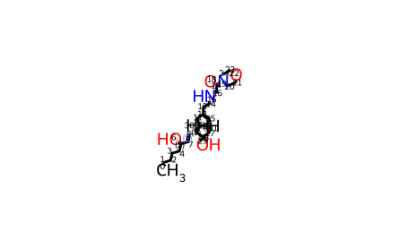 CCCCC[C@H](O)/C=C/[C@@H]1[C@H]2CC(CCNCC(=O)N3CCOCC3)=C[C@H]2C[C@H]1O